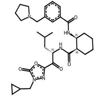 CC(C)C[C@H](NC(=O)[C@@H]1CCCC[C@@H]1NC(=O)c1cccc(CN2CCCC2)c1)C(=O)c1nn(CC2CC2)c(=O)o1